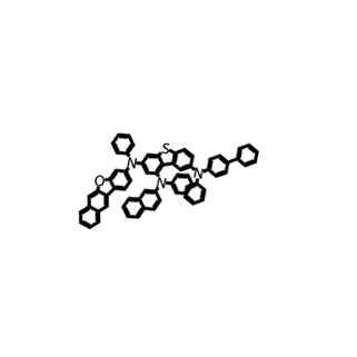 c1ccc(-c2ccc(N(c3ccccc3)c3ccc4sc5cc(N(c6ccccc6)c6ccc7c(c6)oc6cc8ccccc8cc67)cc(N(c6ccccc6)c6ccc7ccccc7c6)c5c4c3)cc2)cc1